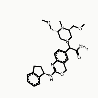 COC[C@H]1CN(C(C(N)=O)c2ccc3c(c2)COC(N[C@@H]2CCc4ccccc42)=N3)C[C@H](COC)N1C